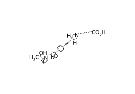 C[C@H](O)c1nccn1Cc1cc(-c2ccc(C#CC3[C@H]4CN(CCCCCC(=O)O)C[C@@H]34)cc2)on1